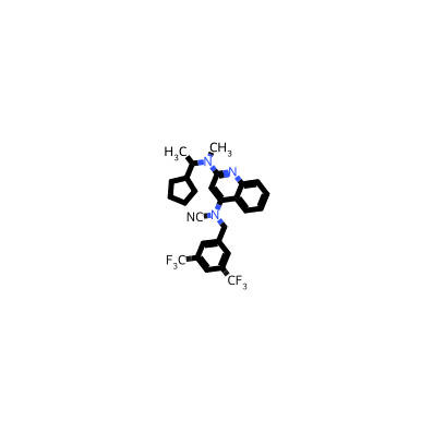 CC(C1CCCC1)N(C)c1cc(N(C#N)Cc2cc(C(F)(F)F)cc(C(F)(F)F)c2)c2ccccc2n1